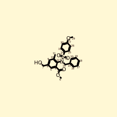 COC(=O)c1cc(CO)cc(C)c1N(Cc1ccccc1)S(=O)(=O)c1ccc(OC)cc1